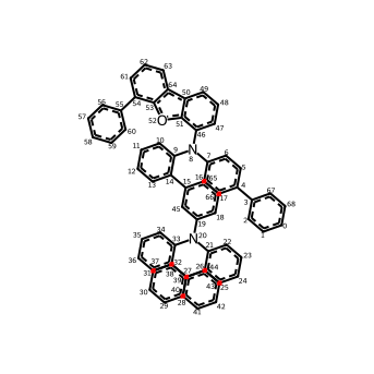 c1ccc(-c2ccc(N(c3ccccc3-c3cccc(N(c4ccccc4-c4ccccc4)c4ccccc4-c4ccccc4)c3)c3cccc4c3oc3c(-c5ccccc5)cccc34)cc2)cc1